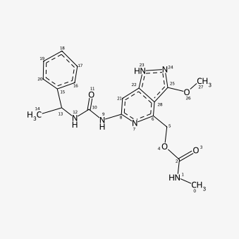 CNC(=O)OCc1nc(NC(=O)NC(C)c2ccccc2)cc2[nH]nc(OC)c12